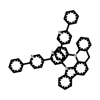 c1ccc(-c2ccc(-c3cc(-n4c5ccccc5c5ccc6c(c54)N(c4ccccc4)c4ccccc4C6)cc(-c4ccc(-c5ccccc5)nc4)n3)cn2)cc1